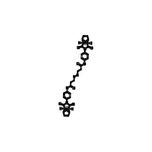 O=C(CCSSCCC(=O)Oc1ccc(N2C(=O)[C@@H]3C4C=CC(C4)[C@@H]3C2=O)cc1)Oc1ccc(N2C(=O)[C@@H]3C4C=CC(C4)[C@@H]3C2=O)cc1